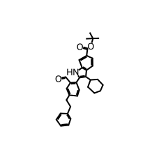 CC(C)(C)OC(=O)c1ccc2c(C3CCCCC3)c(-c3ccc(CCc4ccccc4)cc3C=O)[nH]c2c1